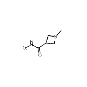 CCNC(=O)C1CN(C)C1